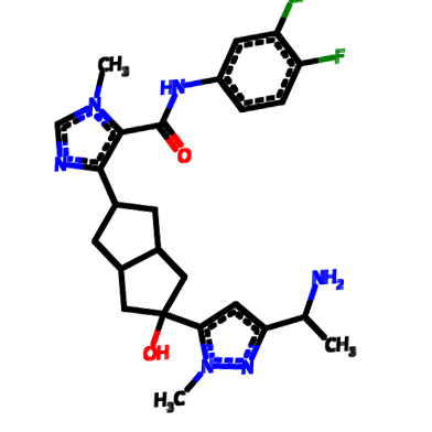 CC(N)c1cc(C2(O)CC3CC(c4ncn(C)c4C(=O)Nc4ccc(F)c(Cl)c4)CC3C2)n(C)n1